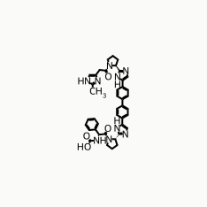 Cc1nc(CC(=O)N2CCC[C@H]2c2ncc(-c3ccc(-c4ccc(-c5cnc([C@@H]6CCCN6C(=O)[C@H](NC(=O)O)c6ccccc6)[nH]5)cc4)cc3)[nH]2)c[nH]1